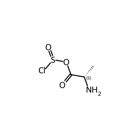 C[C@H](N)C(=O)OS(=O)Cl